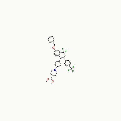 COC(OC)C1CCN(c2ccc(C3=C(c4ccc(C(F)(F)F)cc4)CC(F)(F)c4cc(OCc5ccccc5)ccc43)cc2)CC1